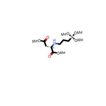 COC(=O)C[C@H](NCCC[Si](OC)(OC)OC)C(=O)OC